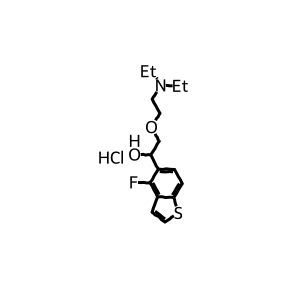 CCN(CC)CCOCC(O)c1ccc2sccc2c1F.Cl